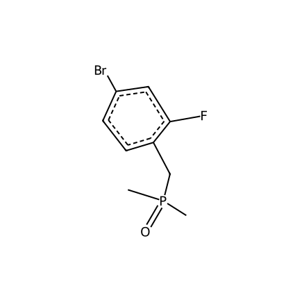 CP(C)(=O)Cc1ccc(Br)cc1F